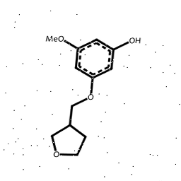 COc1cc(O)cc(OCC2CCOC2)c1